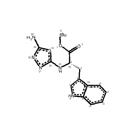 CC(C)(C)OC(=O)[C@H](Cc1c[nH]c2ccccc12)Nc1nnc(N)s1